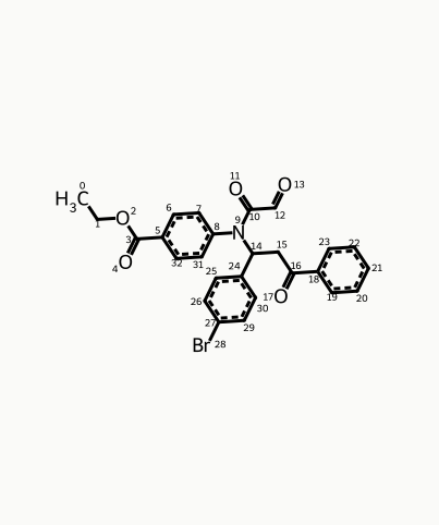 CCOC(=O)c1ccc(N(C(=O)C=O)C(CC(=O)c2ccccc2)c2ccc(Br)cc2)cc1